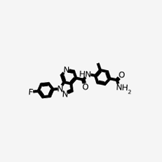 Cc1cc(C(N)=O)ccc1NC(=O)c1cncc2c1cnn2-c1ccc(F)cc1